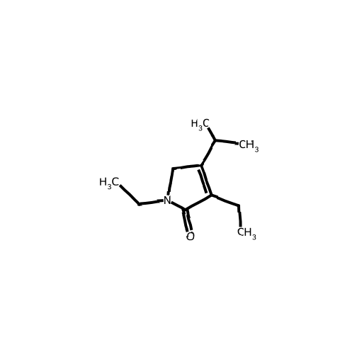 CCC1=C(C(C)C)CN(CC)C1=O